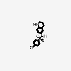 O=S(=O)(Nc1ccc2c(c1)CCCN2)c1ccc(Cl)cc1